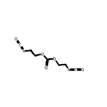 O=C=NCCOC(=O)OCCN=C=O